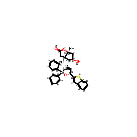 CC(C)(C)[Si](O[C@H](C=C[C@@H]1[C@H]2CC(=O)O[C@H]2C[C@H]1O)c1cc2ccccc2s1)(c1ccccc1)c1ccccc1